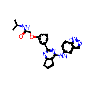 CC(C)NC(=O)COc1cccc(-c2nc3c(c(Nc4ccc5[nH]ncc5c4)n2)C=CC3)c1